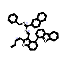 C=C/C=C\c1oc2cccc(-c3cccc4c3oc3ccccc34)c2c1/C=N/C(=N\Cc1ccccc1)c1ccc2ccccc2c1